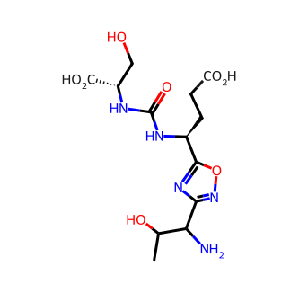 CC(O)C(N)c1noc([C@H](CCC(=O)O)NC(=O)N[C@@H](CO)C(=O)O)n1